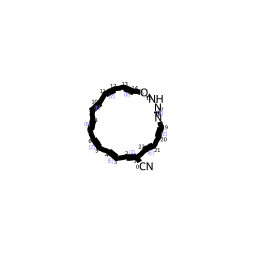 N#CC1=C\C=C\C=C/C=C/C=C/C=C\C=C\ON/N=N/C=C\C=C\1